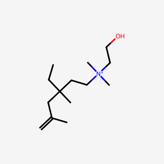 C=C(C)CC(C)(CC)CC[N+](C)(C)CCO